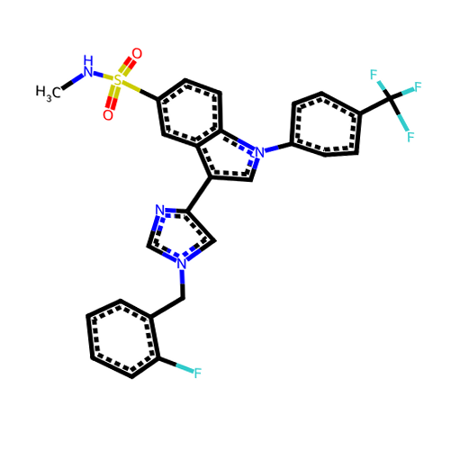 CNS(=O)(=O)c1ccc2c(c1)c(-c1cn(Cc3ccccc3F)cn1)cn2-c1ccc(C(F)(F)F)cc1